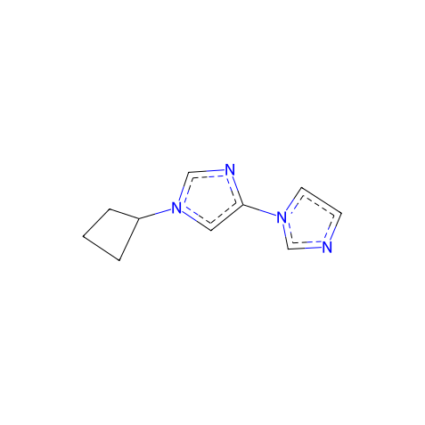 c1cn(-c2cn(C3CCC3)cn2)cn1